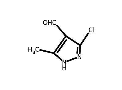 Cc1[nH]nc(Cl)c1C=O